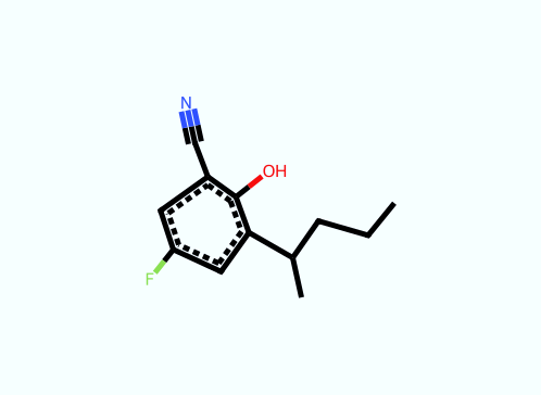 CCCC(C)c1cc(F)cc(C#N)c1O